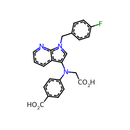 O=C(O)CN(c1ccc(C(=O)O)cc1)c1cn(Cc2ccc(F)cc2)c2ncccc12